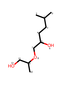 CC(C)CCC(O)COC(C)CO